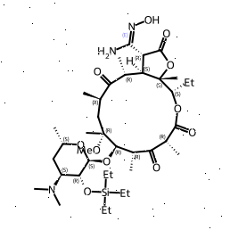 CC[C@@H]1OC(=O)[C@H](C)C(=O)[C@H](C)[C@@H](O[C@@H]2O[C@@H](C)C[C@H](N(C)C)[C@H]2O[Si](CC)(CC)CC)[C@](C)(OC)C[C@@H](C)C(=O)[C@H](C)[C@H]2[C@H](/C(N)=N\O)C(=O)O[C@@]21C